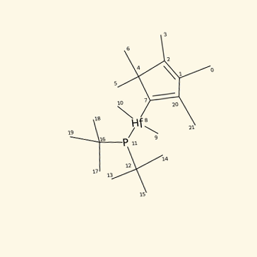 CC1=C(C)C(C)(C)[C]([Hf]([CH3])([CH3])[P](C(C)(C)C)C(C)(C)C)=C1C